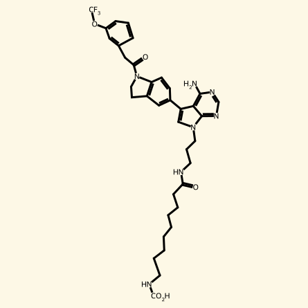 Nc1ncnc2c1c(-c1ccc3c(c1)CCN3C(=O)Cc1cccc(OC(F)(F)F)c1)cn2CCCNC(=O)CCCCCCCCNC(=O)O